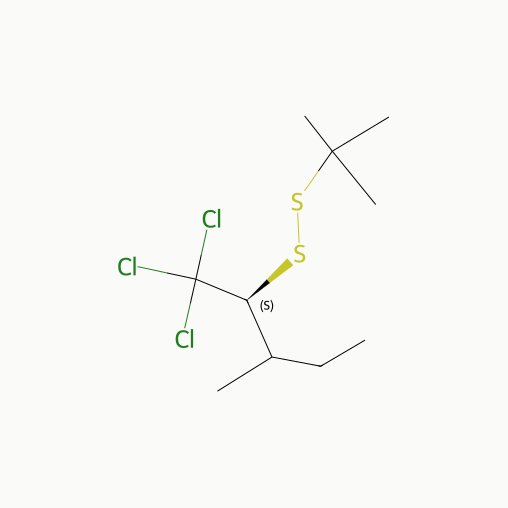 CCC(C)[C@H](SSC(C)(C)C)C(Cl)(Cl)Cl